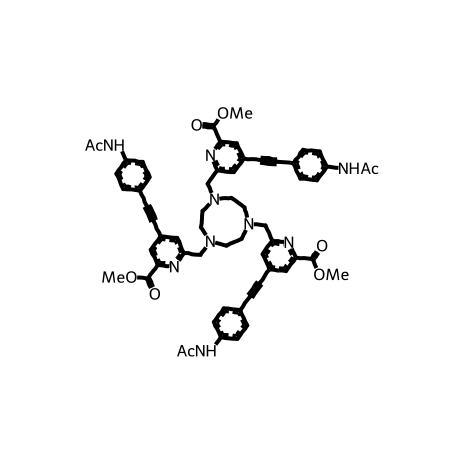 COC(=O)c1cc(C#Cc2ccc(NC(C)=O)cc2)cc(CN2CCN(Cc3cc(C#Cc4ccc(NC(C)=O)cc4)cc(C(=O)OC)n3)CCN(Cc3cc(C#Cc4ccc(NC(C)=O)cc4)cc(C(=O)OC)n3)CC2)n1